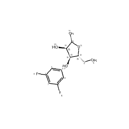 Fc1cccc(F)c1.OC[C@H]1OC(O)[C@H](O)[C@@H]1O